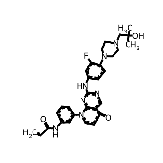 C=CC(=O)Nc1cccc(-n2ccc(=O)c3cnc(Nc4ccc(N5CCN(CC(C)(C)O)CC5)c(F)c4)nc32)c1